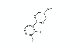 CCCC1COC(c2cccc(F)c2F)OC1